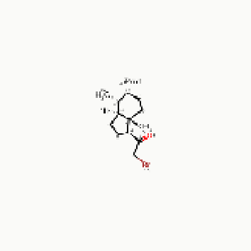 CCC[C@@H](C)[C@H]1CC[C@]2(C)[C@@H](C(=O)CBr)CC[C@H]2[C@@H]1C